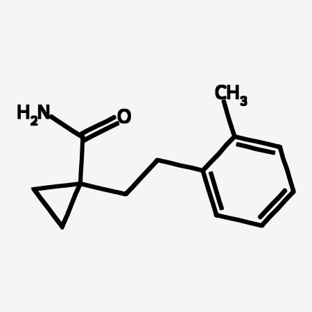 Cc1ccccc1CCC1(C(N)=O)CC1